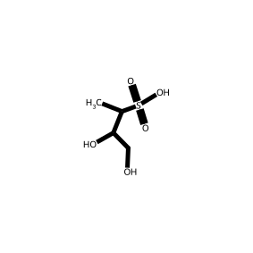 CC(C(O)CO)S(=O)(=O)O